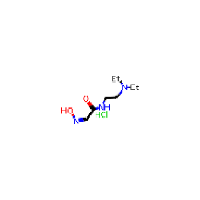 CCN(CC)CCNC(=O)/C=N\O.Cl